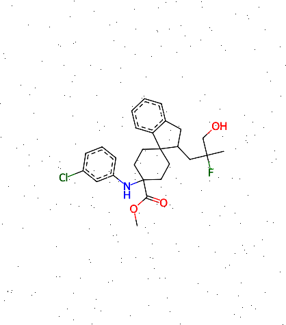 COC(=O)C1(Nc2cccc(Cl)c2)CCC2(CC1)c1ccccc1CC2CC(C)(F)CO